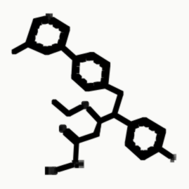 CCO[C@H](CC(=O)NO)C(Cc1ccc(-c2cncc(C)c2)cc1)c1ccc(F)cc1